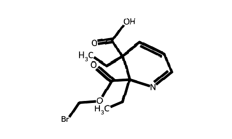 CCC1(C(=O)O)C=CC=NC1(CC)C(=O)OCBr